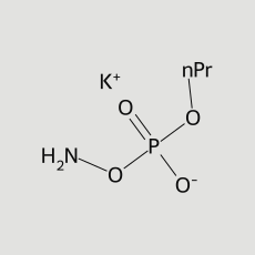 CCCOP(=O)([O-])ON.[K+]